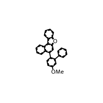 COc1ccc(-c2cc3oc4ccccc4c3c3ccccc23)c(-c2ccccc2)c1